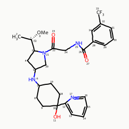 CO[C@@H](C)C1CC(NC2CCC(O)(c3ccccn3)CC2)CN1C(=O)CNC(=O)c1cccc(C(F)(F)F)c1